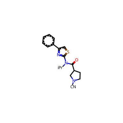 CC(C)N(C(=O)C1CCN(C#N)C1)c1nc(-c2ccccc2)cs1